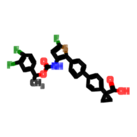 CC(OC(=O)Nc1cc(F)sc1-c1ccc(-c2ccc(C3(C(=O)O)CC3)cc2)cc1)c1ccc(F)c(F)c1